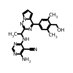 Cc1cc(-c2nc(C(C)Nc3ncnc(N)c3C#N)nn3cccc23)cc(C)c1CO